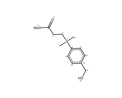 COC(=O)CC[Si](C)(C)c1ccc(CO)cc1